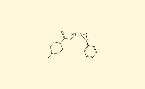 CN1CCN(C(=O)CN[C@@H]2C[C@H]2c2ccccc2)CC1